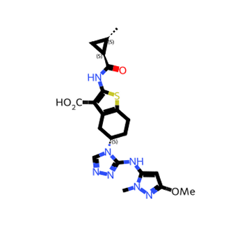 COc1cc(Nc2nncn2[C@H]2CCc3sc(NC(=O)[C@H]4C[C@@H]4C)c(C(=O)O)c3C2)n(C)n1